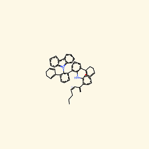 C=C(/C=C\CCC)c1ccccc1Nc1c(C2=CC=CCC2)cccc1-c1cccc(C2=CCCC=C2)c1-n1c2ccccc2c2ccccc21